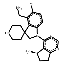 C[C@@H]1CCc2ncnc(N3CC4(CCNCC4)c4c3ccc(Cl)c4CN)c21